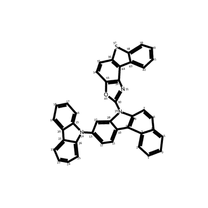 c1ccc2c(c1)ccc1c2c2ccc(-n3c4ccccc4c4ccccc43)cc2n1-c1nc2c(ccc3sc4ccccc4c32)o1